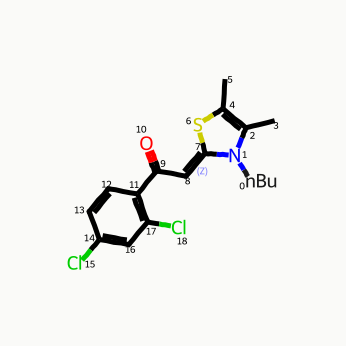 CCCCN1C(C)=C(C)S/C1=C\C(=O)c1ccc(Cl)cc1Cl